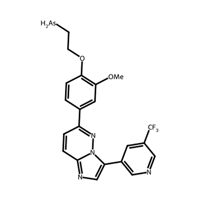 COc1cc(-c2ccc3ncc(-c4cncc(C(F)(F)F)c4)n3n2)ccc1OCC[AsH2]